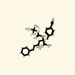 CC(C)(C)OC(=O)N[C@](Cc1ccc(C#N)cc1)(C[C@@H](O)CCC1CCCCC1)C(=O)O